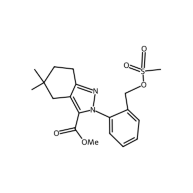 COC(=O)c1c2c(nn1-c1ccccc1COS(C)(=O)=O)CCC(C)(C)C2